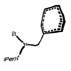 CCCC(C)N(CC)Cc1ccccc1